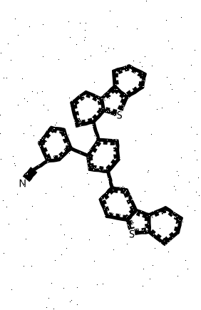 N#Cc1cccc(-c2cc(-c3ccc4sc5ccccc5c4c3)ccc2-c2cccc3c2sc2ccccc23)c1